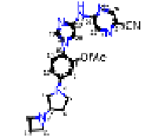 COc1cc(N2CC[C@@H](N3CCC3)C2)ccc1-n1cnc(Nc2cnc(C#N)cn2)c1